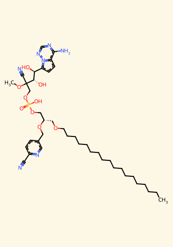 CCCCCCCCCCCCCCCCCCOC[C@@H](COP(=O)(O)OCC(C#N)(OC)[C@@H](O)[C@@H](O)c1ccc2c(N)ncnn12)OCc1ccc(C#N)nc1